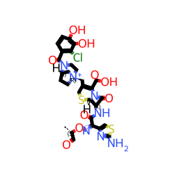 C[C@@H](C=O)O/N=C(\C(=O)N[C@@H]1C(=O)N2C(C(=O)O)=C(C[N@@+]34CC[C@@H](C3)N(C(=O)c3ccc(O)c(O)c3Cl)CC4)CS[C@H]12)c1csc(N)n1